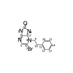 O=C1[N]C2=NC=C(Br)N(CCc3ccccc3)C2=N1